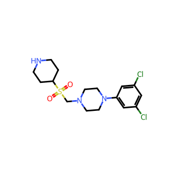 O=S(=O)(CN1CCN(c2cc(Cl)cc(Cl)c2)CC1)C1CCNCC1